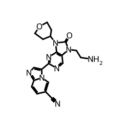 N#Cc1ccc2ncc(-c3ncc4c(n3)n(C3CCOCC3)c(=O)n4CCN)n2c1